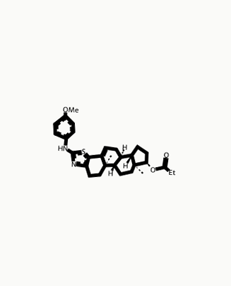 CCC(=O)O[C@H]1CC[C@H]2[C@@H]3CC=C4c5sc(Nc6ccc(OC)cc6)nc5CC[C@]4(C)[C@H]3CC[C@]12C